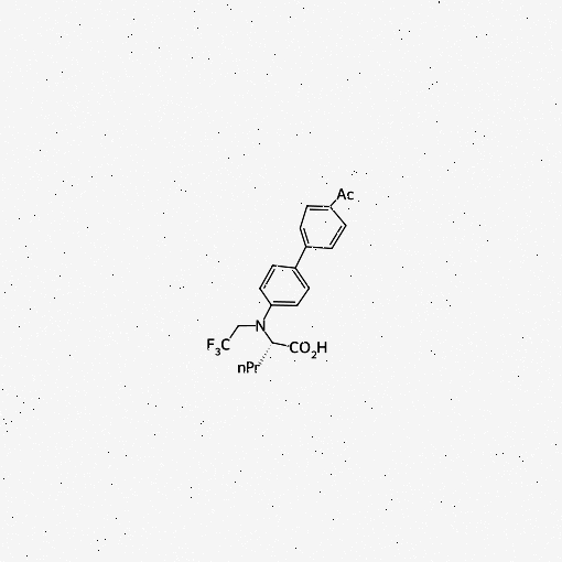 CCC[C@@H](C(=O)O)N(CC(F)(F)F)c1ccc(-c2ccc(C(C)=O)cc2)cc1